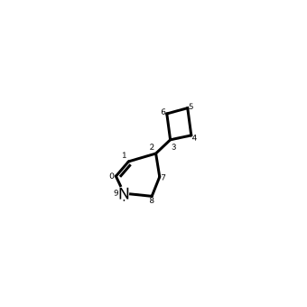 C1=CC(C2CCC2)CC[N]1